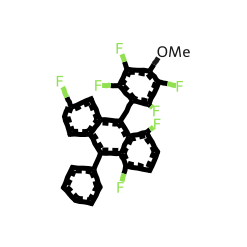 COc1c(F)c(F)c(-c2c3cc(F)ccc3c(-c3ccccc3)c3c(F)ccc(F)c23)c(F)c1F